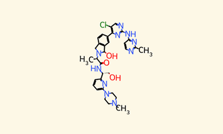 Cc1nccc(Nc2ncc(Cl)c(-c3ccc4c(c3)C(O)N([C@H](C)C(=O)N[C@H](CO)c3cccc(N5CCN(C)CC5)n3)C4)n2)n1